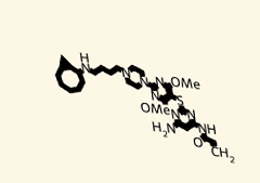 C=CC(=O)Nc1cc(N)nc(Sc2c(OC)nc(N3CCN(CCCCNC4CCCCCC5CC54)CC3)nc2OC)n1